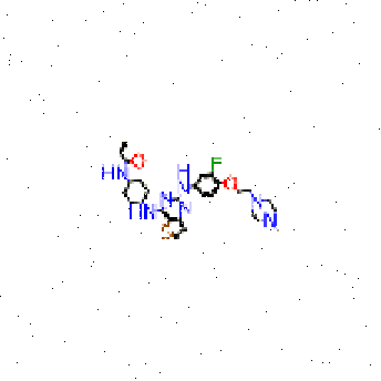 C=CC(=O)N[C@H]1CC[C@@H](Nc2nc(Nc3ccc(OCCN4CCN(C)CC4)c(F)c3)nc3ccsc23)CC1